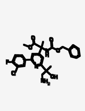 COC(=O)C(C)(NC(=O)OCc1ccccc1)c1cc(-c2ccc(F)c(Cl)c2)nc(C(C)(O)CN)c1